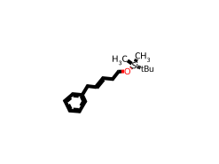 CC(C)(C)[Si](C)(C)OCC/C=C/Cc1ccccc1